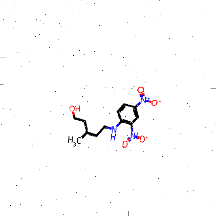 CC(CCO)CCNc1ccc([N+](=O)[O-])cc1[N+](=O)[O-]